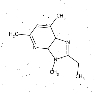 CCC1=NC2C(C)=CC(C)=NC2N1C